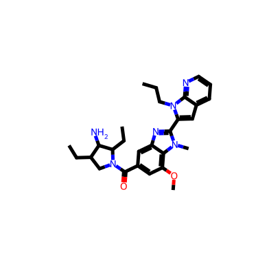 CCCn1c(-c2nc3cc(C(=O)N4CC(CC)C(N)C4CC)cc(OC)c3n2C)cc2cccnc21